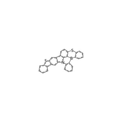 c1ccc2c(c1)Sc1ccc3c4cc5sc6ccccc6c5cc4n4c3c1B2c1ccccc1-4